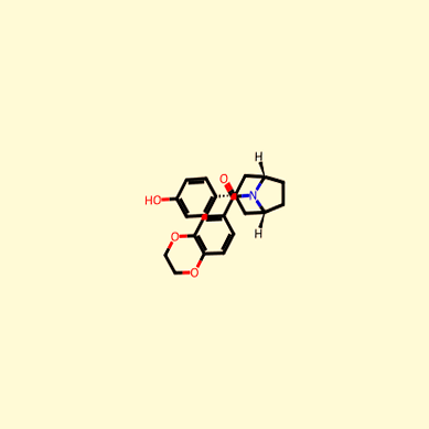 O=C(c1ccc2c(c1)OCCO2)N1[C@@H]2CC[C@H]1C[C@@H](c1ccc(O)cc1)C2